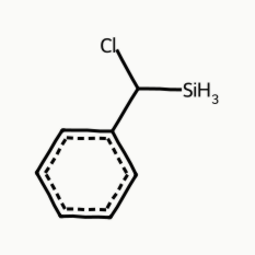 [SiH3]C(Cl)c1ccccc1